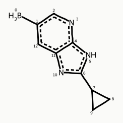 Bc1cnc2[nH]c(C3CC3)nc2c1